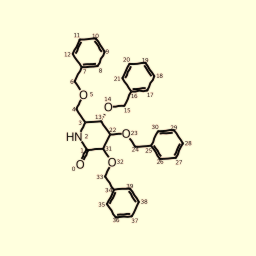 O=C1NC(COCc2ccccc2)[C@H](OCc2ccccc2)C(OCc2ccccc2)C1OCc1ccccc1